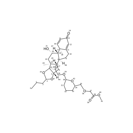 CCCC1O[C@H]2C[C@H]3[C@@H]4CCC5=CC(=O)C=C[C@]5(C)[C@H]4[C@@H](O)C[C@]3(C)[C@]2(C(=O)COC2CCCC(COCC(=O)OC)O2)O1